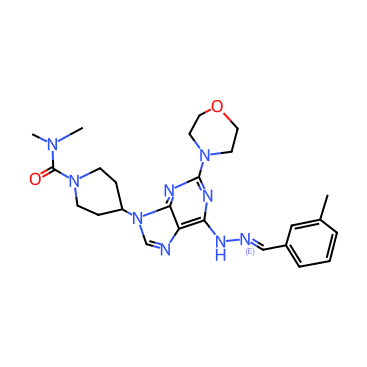 Cc1cccc(/C=N/Nc2nc(N3CCOCC3)nc3c2ncn3C2CCN(C(=O)N(C)C)CC2)c1